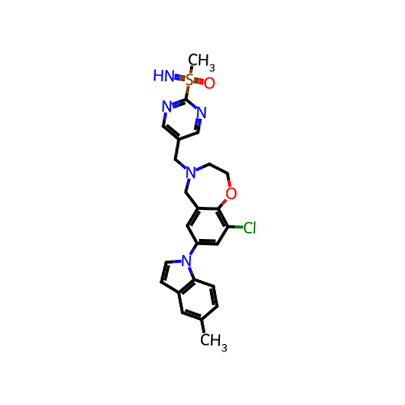 Cc1ccc2c(ccn2-c2cc(Cl)c3c(c2)CN(Cc2cnc(S(C)(=N)=O)nc2)CCO3)c1